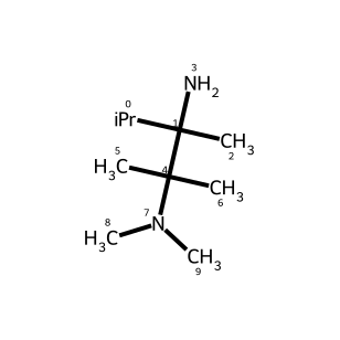 CC(C)C(C)(N)C(C)(C)N(C)C